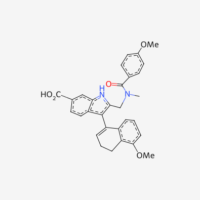 COc1ccc(C(=O)N(C)Cc2[nH]c3cc(C(=O)O)ccc3c2C2=CCCc3c(OC)cccc32)cc1